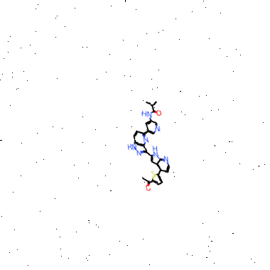 CC(=O)c1ccc(-c2ccnc3[nH]c(-c4n[nH]c5ccc(-c6cncc(NC(=O)C(C)C)c6)nc45)cc23)s1